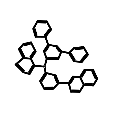 c1ccc(-c2cc(-c3ccccc3)cc(N(c3cccc(-c4ccc5ccccc5c4)c3)c3cccc4ccccc34)c2)cc1